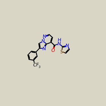 O=C(Nc1nccs1)c1ccnn2cc(-c3cccc(C(F)(F)F)c3)nc12